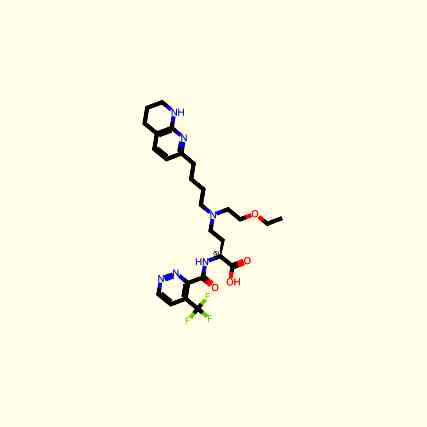 CCOCCN(CCCCc1ccc2c(n1)NCCC2)CC[C@H](NC(=O)c1nnccc1C(F)(F)F)C(=O)O